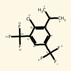 CC(C)c1cc(C(F)(F)F)cc(C(F)(F)F)c1Cl